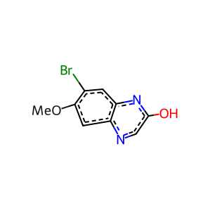 COc1cc2ncc(O)nc2cc1Br